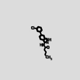 CCCCC(=O)Nc1n[nH]c2cc(-c3cccc(Cl)c3)ccc12